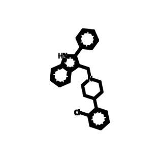 Clc1ccccc1C1CCN(Cc2c(-c3ccccc3)[nH]c3ccccc23)CC1